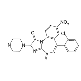 C=C1N=C(c2ccccc2Cl)c2cc([N+](=O)[O-])ccc2N2C(=O)C(N3CCN(C)CC3)N=C12